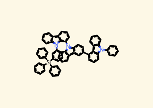 c1ccc(-n2c3ccccc3c3c(-c4ccc5c(c4)c4ccccc4n5-c4cccc5c6ccccc6n(-c6cccc([Si](c7ccccc7)(c7ccccc7)c7ccccc7)c6)c45)cccc32)cc1